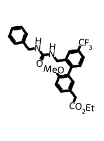 CCOC(=O)Cc1ccc(OC)c(-c2ccc(C(F)(F)F)cc2CNC(=O)NCc2ccccc2)c1